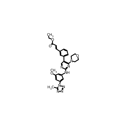 CCOC(=O)/C=C/c1cccc(-c2cnc(Nc3cc(OC)cc(-n4nnnc4C)c3)nc2N2CCOCC2)c1